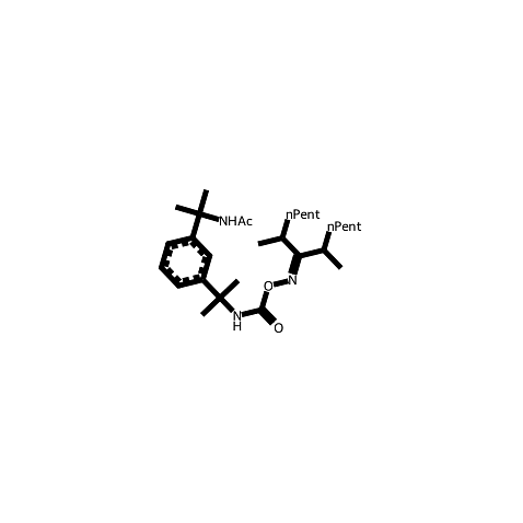 CCCCCC(C)C(=NOC(=O)NC(C)(C)c1cccc(C(C)(C)NC(C)=O)c1)C(C)CCCCC